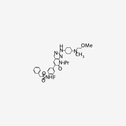 COCCN(C)C1CCC(Nc2ncc3cc(-c4ccc(NS(=O)(=O)Cc5ccccc5)c(F)c4)c(=O)n(C(C)C)c3n2)CC1